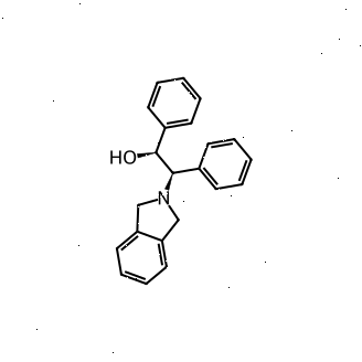 O[C@@H](c1ccccc1)[C@@H](c1ccccc1)N1Cc2ccccc2C1